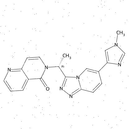 C[C@H](c1nnc2ccc(-c3cn(C)cn3)cn12)n1ccc2ncccc2c1=O